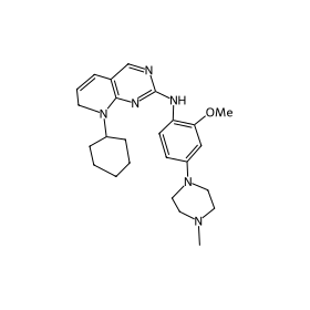 COc1cc(N2CCN(C)CC2)ccc1Nc1ncc2c(n1)N(C1CCCCC1)CC=C2